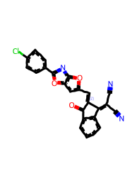 N#CC(C#N)=C1/C(=C/c2cc3oc(-c4ccc(Cl)cc4)nc3o2)C(=O)c2ccccc21